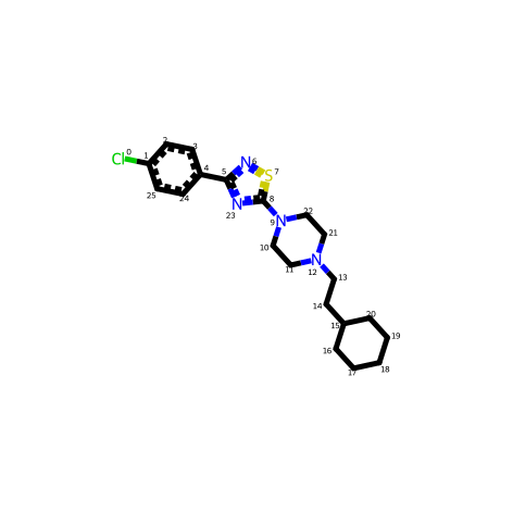 Clc1ccc(-c2nsc(N3CCN(CCC4CCCCC4)CC3)n2)cc1